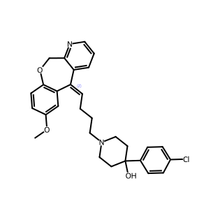 COc1ccc2c(c1)/C(=C\CCCN1CCC(O)(c3ccc(Cl)cc3)CC1)c1cccnc1CO2